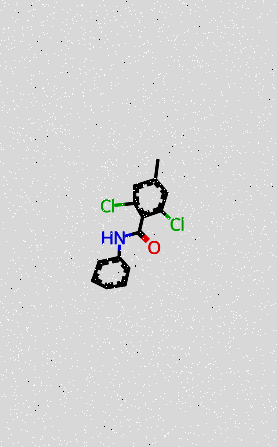 Cc1cc(Cl)c(C(=O)Nc2ccccc2)c(Cl)c1